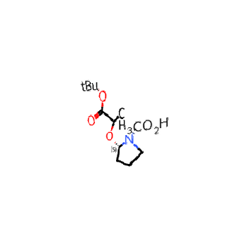 CC(O[C@H]1CCCN1C(=O)O)C(=O)OC(C)(C)C